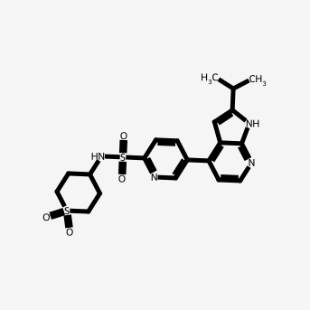 CC(C)c1cc2c(-c3ccc(S(=O)(=O)NC4CCS(=O)(=O)CC4)nc3)ccnc2[nH]1